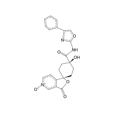 O=C1O[C@]2(CC[C@@](O)(C(=O)Nc3nc(-c4ccccc4)co3)CC2)c2cc[n+]([O-])cc21